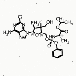 CC(C)OC(=O)[C@H](C)NP(=O)(OC[C@H]1O[C@@H](n2cnc3c(N)nc(Cl)nc32)C(F)C1(C)CO)Oc1ccccc1